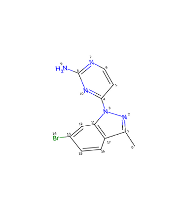 Cc1nn(-c2ccnc(N)n2)c2cc(Br)ccc12